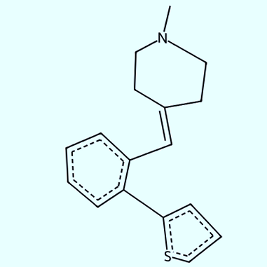 CN1CCC(=Cc2ccccc2-c2cccs2)CC1